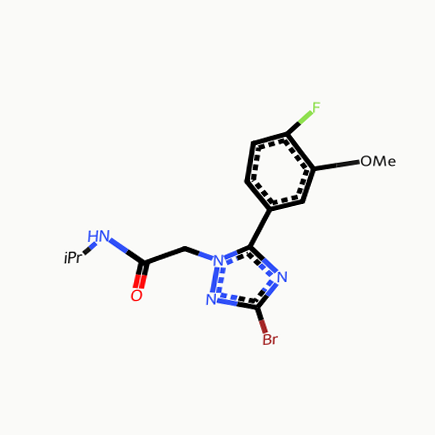 COc1cc(-c2nc(Br)nn2CC(=O)NC(C)C)ccc1F